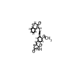 COc1ccc(/C=C2/SC(=O)NC2=O)cc1C#CCN1C(=O)CSc2ccccc21